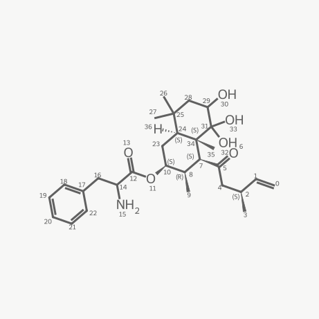 C=C[C@@H](C)CC(=O)[C@H]1[C@@H](C)[C@@H](OC(=O)C(N)Cc2ccccc2)C[C@H]2C(C)(C)CC(O)C(O)(O)[C@]12C